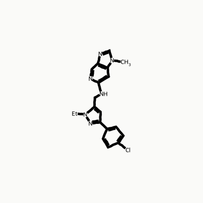 CCn1nc(-c2ccc(Cl)cc2)cc1CNc1cc2c(cn1)ncn2C